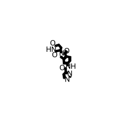 O=C1CCC(N2Cc3cc(NC(=O)c4ccncn4)ccc3C2=O)C(=O)N1